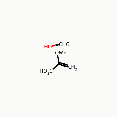 C=C(OC)C(=O)O.O=CO